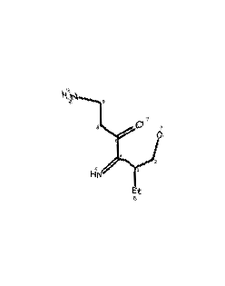 CCC(C[O])C(=N)C(=O)CCN